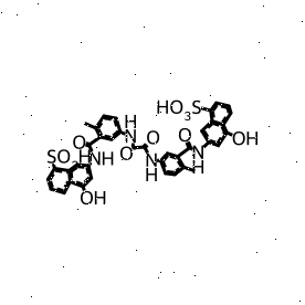 Cc1ccc(NC(=O)C(=O)Nc2ccc(C)c(C(=O)Nc3cc(O)c4cccc(S(=O)(=O)O)c4c3)c2)cc1C(=O)Nc1cc(O)c2cccc(S(=O)(=O)O)c2c1